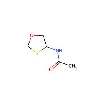 CC(=O)NC1COCS1